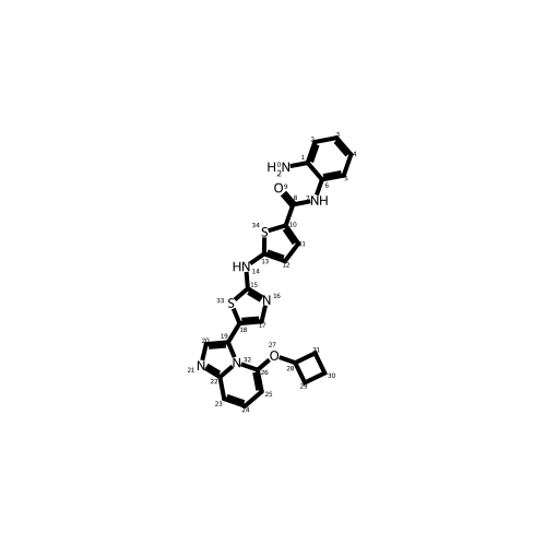 Nc1ccccc1NC(=O)c1ccc(Nc2ncc(-c3cnc4cccc(OC5CCC5)n34)s2)s1